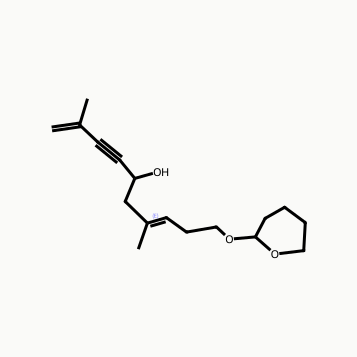 C=C(C)C#CC(O)C/C(C)=C/CCOC1CCCCO1